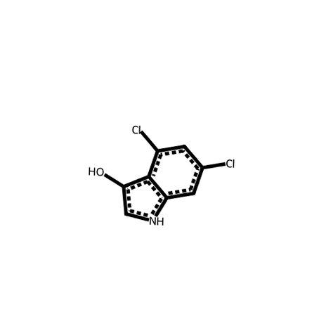 Oc1c[nH]c2cc(Cl)cc(Cl)c12